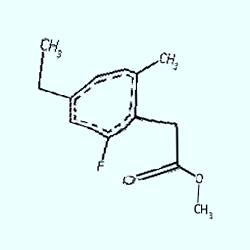 CCc1cc(C)c(CC(=O)OC)c(F)c1